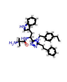 CCc1ccc(Cn2c(CCc3ccccc3)nnc2C(Cc2c[nH]c3ccccc23)NC(=O)C(C)(C)N)cc1